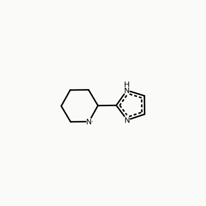 c1c[nH]c(C2CCCC[N]2)n1